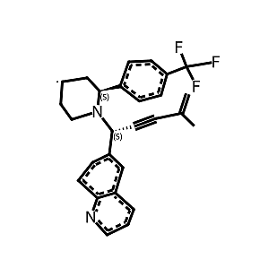 C=C(C)C#C[C@H](c1ccc2ncccc2c1)N1CC[CH]C[C@H]1c1ccc(C(F)(F)F)cc1